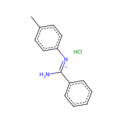 Cc1ccc(/N=C(\N)c2ccccc2)cc1.Cl